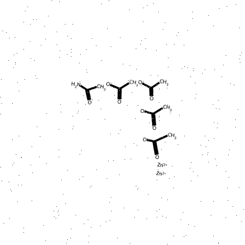 CC(=O)[O-].CC(=O)[O-].CC(=O)[O-].CC(=O)[O-].CC(N)=O.[Zn+2].[Zn+2]